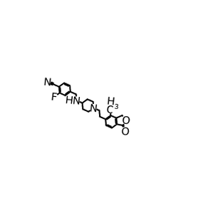 Cc1c(CCN2CCC(NCc3ccc(C#N)c(F)c3)CC2)ccc2c1COC2=O